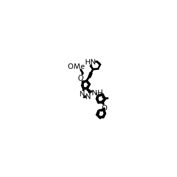 COCCOc1cc2ncnc(Nc3ccc(Oc4ccccc4)c(C)c3)c2cc1C#CC1CCCNC1